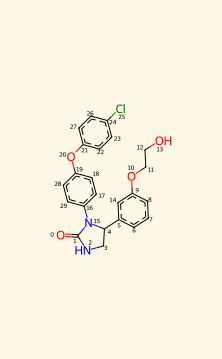 O=C1NCC(c2cccc(OCCO)c2)N1c1ccc(Oc2ccc(Cl)cc2)cc1